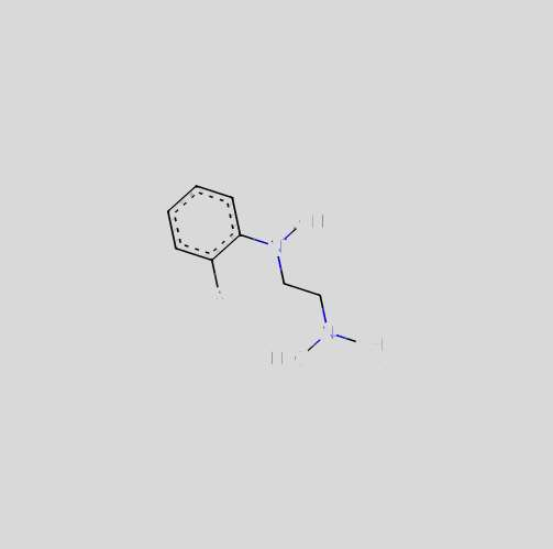 CC(=O)c1ccccc1N(C)CCN(C)C